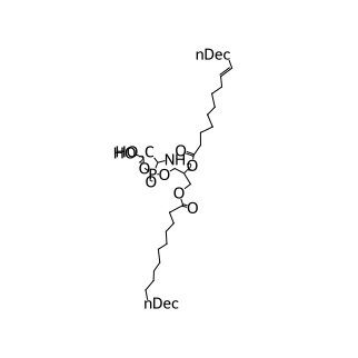 CCCCCCCCCC/C=C/CCCCCCCC(=O)OC(COC(=O)CCCCCCCCCCCCCCCCCCC)COP(=O)(OCO)C(N)C(=O)O